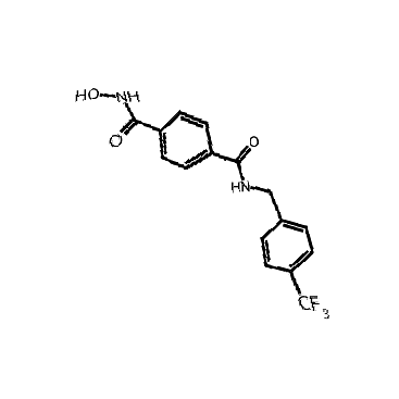 O=C(NO)c1ccc(C(=O)NCc2ccc(C(F)(F)F)cc2)cc1